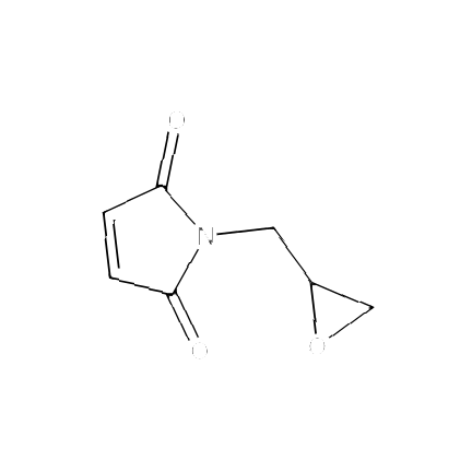 O=C1C=CC(=O)N1CC1CO1